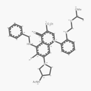 CCOC(=O)c1cn(-c2ccccc2OCOC(C)OC)c2cc(N3CCC(NC(C)=O)C3)c(F)c(NCc3ccccc3)c2c1=O